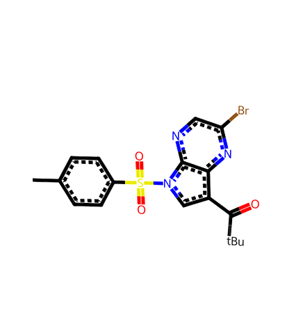 Cc1ccc(S(=O)(=O)n2cc(C(=O)C(C)(C)C)c3nc(Br)cnc32)cc1